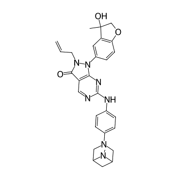 C=CCn1c(=O)c2cnc(Nc3ccc(N4CC5CC(C4)N5C)cc3)nc2n1-c1ccc2c(c1)C(C)(O)CO2